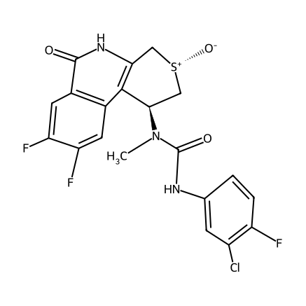 CN(C(=O)Nc1ccc(F)c(Cl)c1)[C@@H]1C[S@@+]([O-])Cc2[nH]c(=O)c3cc(F)c(F)cc3c21